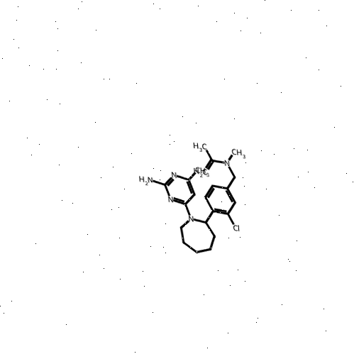 C=C(C)N(C)Cc1ccc(C2CCCCCN2c2cc(C)nc(N)n2)c(Cl)c1